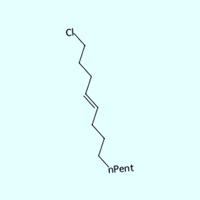 CCCCCCCCC=CCCCCl